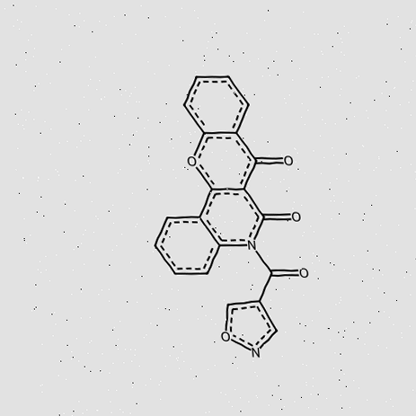 O=C(c1cnoc1)n1c(=O)c2c(=O)c3ccccc3oc2c2ccccc21